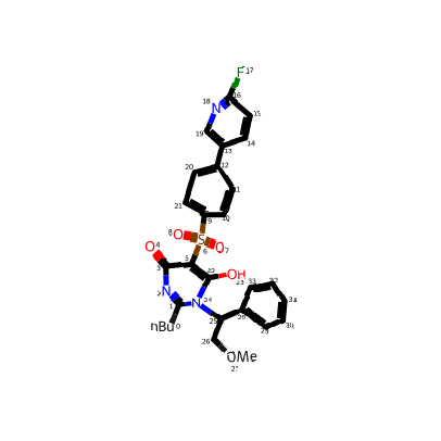 CCCCc1nc(=O)c(S(=O)(=O)c2ccc(-c3ccc(F)nc3)cc2)c(O)n1C(COC)c1ccccc1